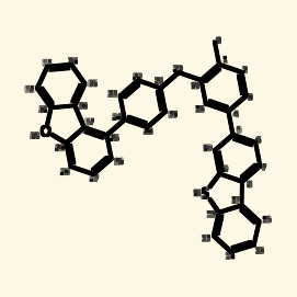 Cc1ccc(-c2ccc3c(c2)sc2ccccc23)cc1Cc1ccc(-c2cccc3oc4ccccc4c23)cc1